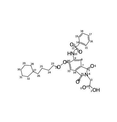 O=C(O)CN1C(=O)c2cc(NS(=O)(=O)c3ccccc3)c(OOCCCCC3CCCCC3)cc2C1=O